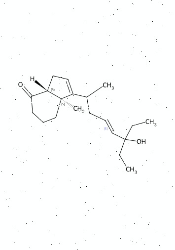 CCC(O)(/C=C/CC(C)C1=CC[C@H]2C(=O)CCC[C@]12C)CC